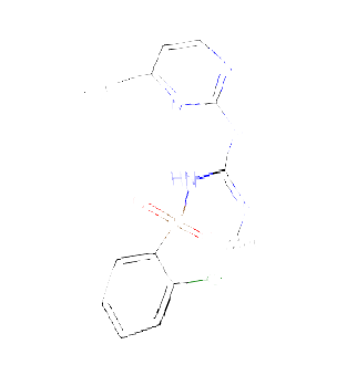 CON=C(Nc1nccc(C)n1)NS(=O)(=O)c1ccccc1Cl